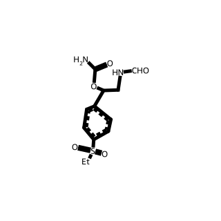 CCS(=O)(=O)c1ccc(C(CNC=O)OC(N)=O)cc1